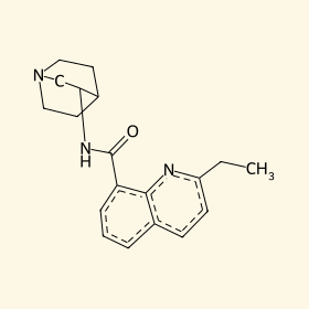 CCc1ccc2cccc(C(=O)NC3CN4CCC3CC4)c2n1